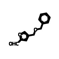 O=Cc1cc(COCc2ccccc2)co1